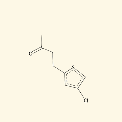 CC(=O)CCc1cc(Cl)cs1